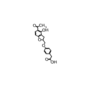 CC(=O)c1ccc2c(c1O)CC(COc1ccc(CC(=O)O)cc1)O2